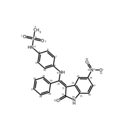 CS(=O)(=O)Nc1ccc(NC(=C2C(=O)Nc3ccc([N+](=O)[O-])cc32)c2ccccc2)cc1